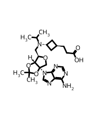 CC(C)N(C[C@H]1OC[C@@]2(n3cnc4c(N)ncnc43)OC(C)(C)O[C@H]12)[C@H]1C[C@H](CCC(=O)O)C1